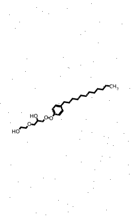 CCCCCCCCCCCCc1ccc(OOCC(O)COCCO)cc1